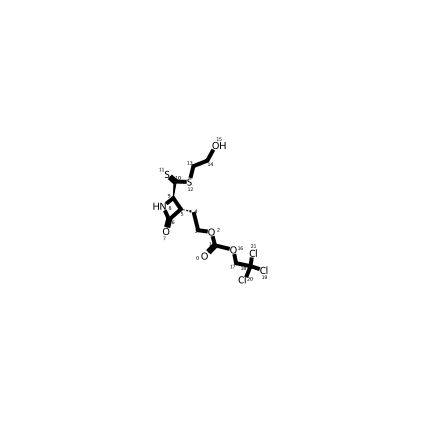 O=C(OCC[C@@H]1C(=O)N[C@H]1C(=S)SCCO)OCC(Cl)(Cl)Cl